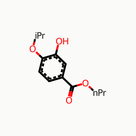 CCCOC(=O)c1ccc(OC(C)C)c(O)c1